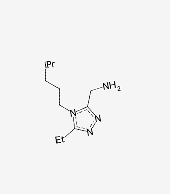 CCc1nnc(CN)n1CCCC(C)C